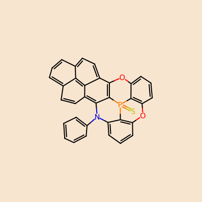 S=P12c3c4cccc3Oc3c1c(c1ccc5cccc6ccc3c1c65)N(c1ccccc1)c1cccc(c12)O4